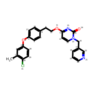 Cc1cc(Oc2ccc(CCOc3ccn(Cc4cccnc4)c(=O)n3)cc2)ccc1Cl